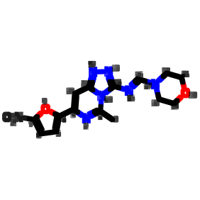 Cc1nc(-c2ccc([N+](=O)[O-])o2)cc2nnc(N=CN3CCOCC3)n12